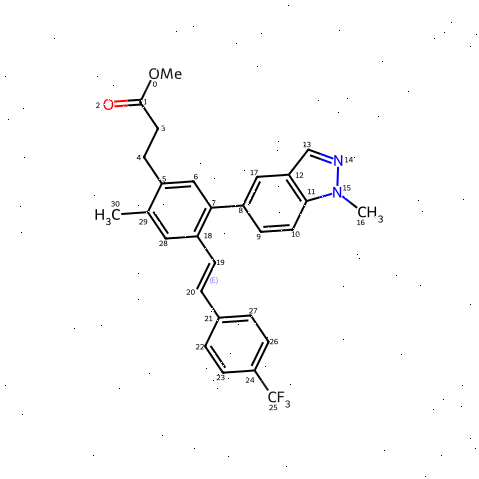 COC(=O)CCc1cc(-c2ccc3c(cnn3C)c2)c(/C=C/c2ccc(C(F)(F)F)cc2)cc1C